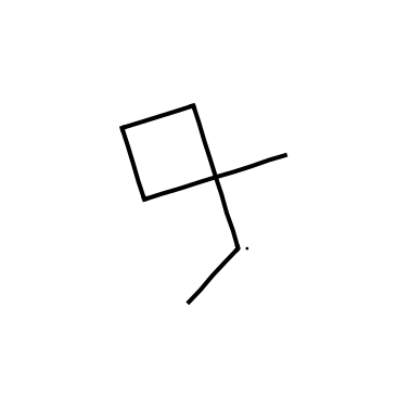 C[CH]C1(C)CCC1